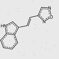 C(=C\c1c[nH]c2ccccc12)/c1cnon1